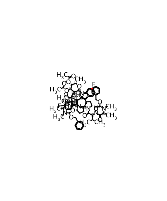 CC(=O)O[C@@H]1[C@H](OC(C)=O)[C@H](C)O[C@H](n2c(-c3[nH]c4cc(F)ccc4c3CC3CCCN3C(=O)[C@@H](NC(=O)[C@H](C)N(C)C(=O)OCc3ccccc3)C(C)C)c(C[C@@H]3CCCN3C(=O)[C@@H](NC(=O)[C@H](C)N(C)C(=O)OCc3ccccc3)C(C)C)c3ccc(F)cc32)[C@H]1OC(C)=O